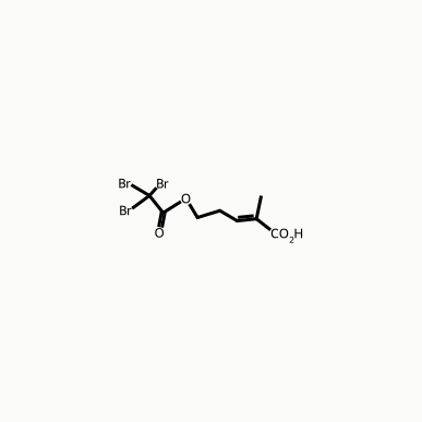 CC(=CCCOC(=O)C(Br)(Br)Br)C(=O)O